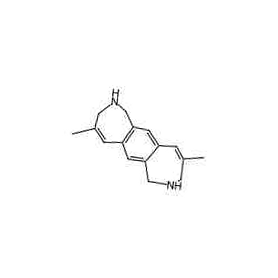 CC1=Cc2cc3c(cc2CNC1)C=C(C)CNC3